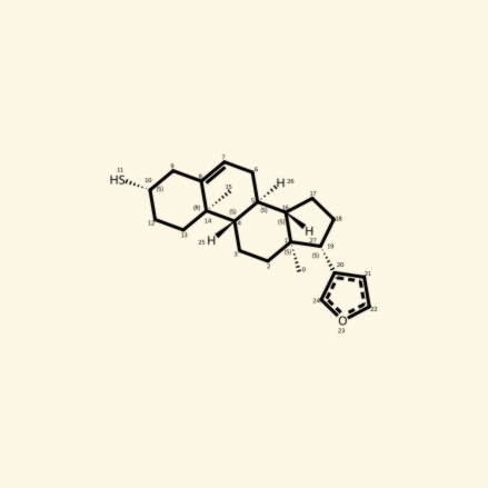 C[C@]12CC[C@H]3[C@@H](CC=C4C[C@@H](S)CC[C@@]43C)[C@@H]1CC[C@@H]2c1ccoc1